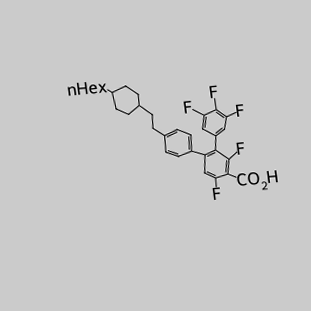 CCCCCCC1CCC(CCc2ccc(-c3cc(F)c(C(=O)O)c(F)c3-c3cc(F)c(F)c(F)c3)cc2)CC1